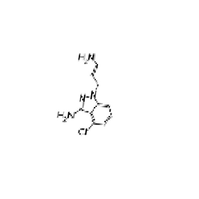 NC=CCn1nc(N)c2c(Cl)cccc21